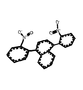 O=[N+]([O-])c1ccccc1-c1ccc(-c2ccccc2[N+](=O)[O-])c2ccccc12